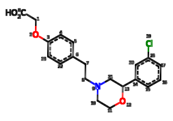 O=C(O)COc1ccc(CCN2CCOC(c3cccc(Cl)c3)C2)cc1